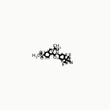 CC(=O)N1Cc2cc(S(C)(=O)=O)ccc2C1C(=O)Nc1ccc(C(C#N)(C(F)(F)F)C(F)(F)F)cc1